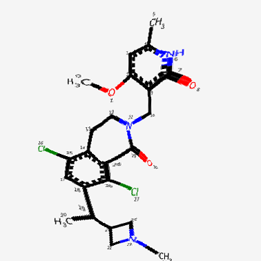 COc1cc(C)[nH]c(=O)c1CN1CCc2c(Cl)cc(C(C)C3CN(C)C3)c(Cl)c2C1=O